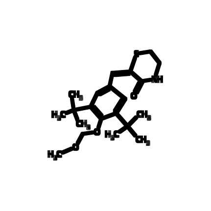 COCOc1c(C(C)(C)C)cc(/C=C2/SCCNC2=O)cc1C(C)(C)C